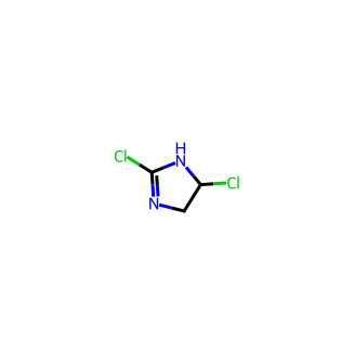 ClC1=NCC(Cl)N1